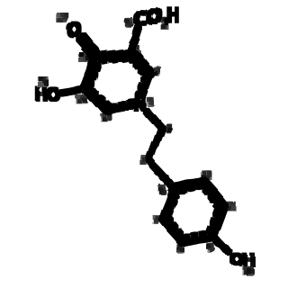 O=C(O)c1cn(CCc2ccc(O)cc2)cc(O)c1=O